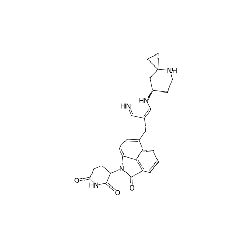 N=C/C(=C\N[C@@H]1CCNC2(CC2)C1)Cc1ccc2c3c(cccc13)C(=O)N2C1CCC(=O)NC1=O